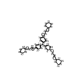 c1cc(C(c2ccc(OCCOC3CCCCC3)cc2)c2ccc(OCCOC3CCCCC3)cc2)ccc1OCCOC1CCCCC1